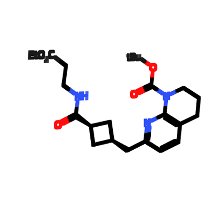 CCOC(=O)CCNC(=O)[C@H]1C[C@@H](Cc2ccc3c(n2)N(C(=O)OC(C)(C)C)CCC3)C1